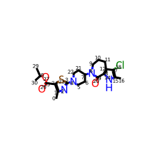 Cc1nc(N2CCC(N3CCCc4c([nH]c(C)c4Cl)C3=O)CC2)sc1C(=O)OC(C)C